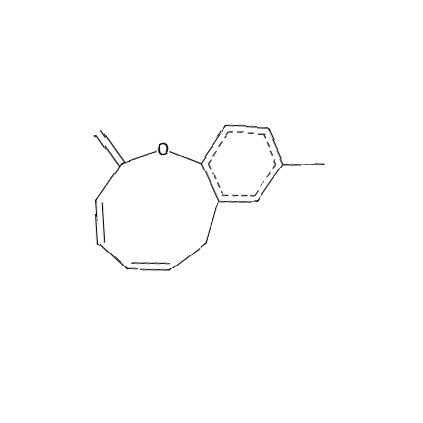 C=C1/C=C\C=C/Cc2cc(C)ccc2O1